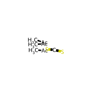 CC(C)=O.CC(C)=O.CC(C)=O.S=C=S